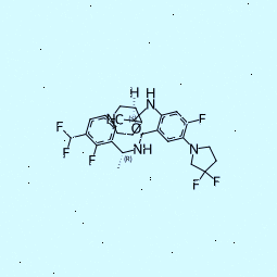 C[C@@H](NC(=O)c1cc(N2CCC(F)(F)C2)c(F)cc1N[C@@H]1CN2CCC1CC2)c1cccc(C(F)F)c1F